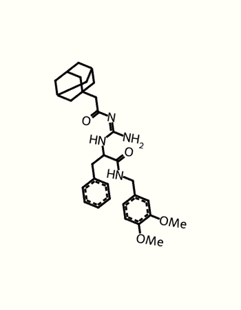 COc1ccc(CNC(=O)C(Cc2ccccc2)NC(N)=NC(=O)CC23CC4CC(CC(C4)C2)C3)cc1OC